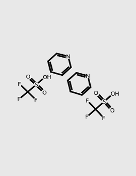 O=S(=O)(O)C(F)(F)F.O=S(=O)(O)C(F)(F)F.c1ccncc1.c1ccncc1